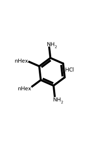 CCCCCCc1c(N)ccc(N)c1CCCCCC.Cl